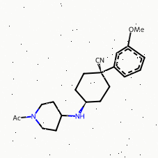 COc1cccc([C@]2(C#N)CC[C@@H](NC3CCN(C(C)=O)CC3)CC2)c1